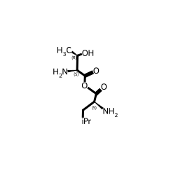 CC(C)C[C@H](N)C(=O)OC(=O)[C@@H](N)[C@@H](C)O